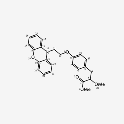 COC(=O)C(Cc1ccc(OCCN2c3ccccc3Oc3ccccc32)cc1)OC